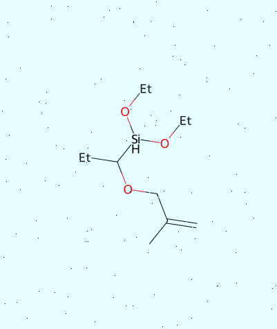 C=C(C)COC(CC)[SiH](OCC)OCC